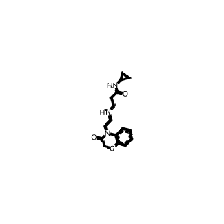 O=C(CCNCCN1C(=O)COc2ccccc21)NC1CC1